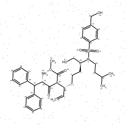 C=C[C@@H](CCC[C@@H](CO)N(CCC(C)C)S(=O)(=O)c1ccc(CO)cc1)N(C(=O)OC)C(=O)[C@@H](N)C(c1ccccc1)c1ccccc1